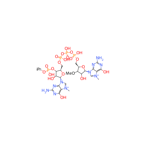 COC1C(O)[C@H](n2c[n+](C)c3c(O)nc(N)nc32)O[C@@H]1COP(=O)(O)OP(=O)(O)OP(=O)(O)OC[C@H]1O[C@@H](n2c[n+](C)c3c(O)nc(N)nc32)[C@@H](O)C1OP(=O)(O)OC(C)C